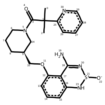 CC(C)(C(=O)N1CCC[C@H](COc2cccc3c2C(N)=N[S+]([O-])N3)C1)c1ccccn1